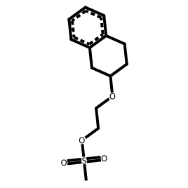 CS(=O)(=O)OCCOC1CCc2ccccc2C1